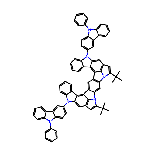 CC(C)(C)c1cc2cc3c(c4ccccc4n3-c3ccc4c(c3)c3ccccc3n4-c3ccccc3)c3c4cc5c6c7c8ccccc8n(-c8ccc9c(c8)c8ccccc8n9-c8ccccc8)c7cc7cc(C(C)(C)C)n(c5cc4n1c23)c76